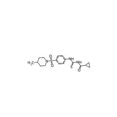 CC1CCN(S(=O)(=O)c2ccc(NC(=S)NC(=O)C3CC3)cc2)CC1